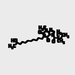 CCC(C)(C)C(=O)n1cnc2c1c(=O)n(CCCCCCCCCC(C)O)c(=O)n2C